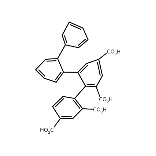 O=C(O)c1ccc(-c2c(C(=O)O)cc(C(=O)O)cc2-c2ccccc2-c2ccccc2)c(C(=O)O)c1